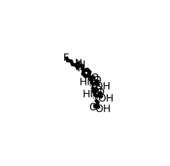 O=C(O)CC[C@H](NC(=O)C[C@@H](NC(=O)c1ccc(-n2cc(CCCF)nn2)cc1)C(=O)O)C(=O)O